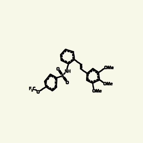 COc1cc(C=Cc2ccccc2NS(=O)(=O)c2ccc(OC(F)(F)F)cc2)cc(OC)c1OC